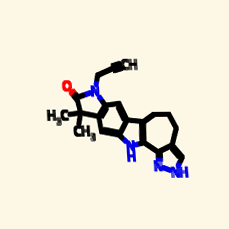 C#CCN1C(=O)C(C)(C)c2cc3[nH]c4c(c3cc21)CCCc1c[nH]nc1-4